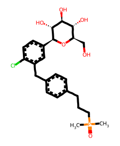 CP(C)(=O)CCCc1ccc(Cc2cc([C@@H]3O[C@H](CO)[C@@H](O)[C@H](O)[C@H]3O)ccc2Cl)cc1